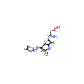 NC(CCO)Cc1sc2c(NCc3nccs3)cc(Cl)nc2c1Cl